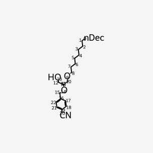 CCCCCCCCCCCCCCCCCCOC[C@H](CO)OCc1ccc(C#N)cc1